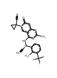 C#C[C@@H](Nc1nc(C)nc2cc(=O)n(C3(C#N)CC3)cc12)c1cccc(C(F)(F)F)c1C